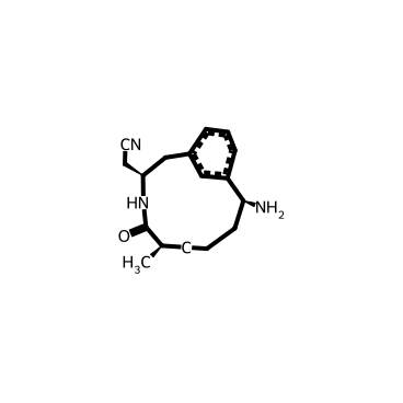 C[C@@H]1CCC[C@H](N)c2cccc(c2)C[C@H](CC#N)NC1=O